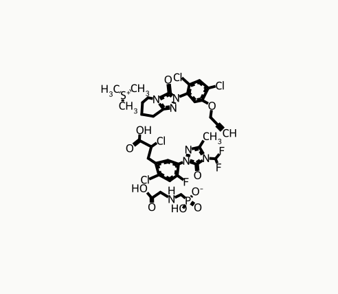 C#CCOc1cc(-n2nc3n(c2=O)CCCC3)c(Cl)cc1Cl.C[S+](C)C.Cc1nn(-c2cc(CC(Cl)C(=O)O)c(Cl)cc2F)c(=O)n1C(F)F.O=C(O)CNCP(=O)([O-])O